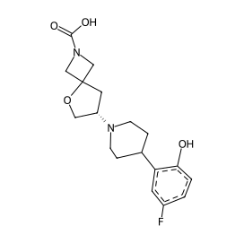 O=C(O)N1CC2(C[C@H](N3CCC(c4cc(F)ccc4O)CC3)CO2)C1